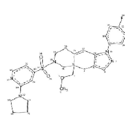 COCC12Cc3cnn(-c4ccc(F)cc4)c3C=C1CCN(S(=O)(=O)c1ccnc(N3CCCC3)c1)C2